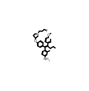 C/C=C(\C=C/COC)C(/CCC)=C(\c1ccc(OC2CCN(CCCF)C2)cc1)c1ccc(N)cc1C